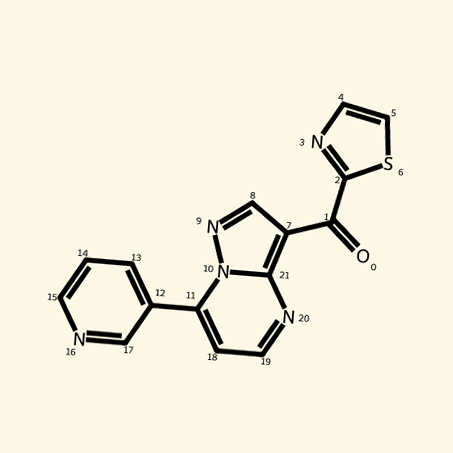 O=C(c1nccs1)c1cnn2c(-c3cccnc3)ccnc12